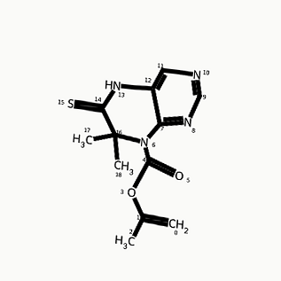 C=C(C)OC(=O)N1c2ncncc2NC(=S)C1(C)C